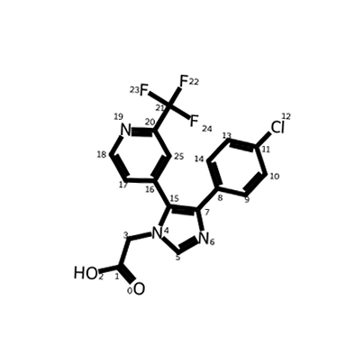 O=C(O)Cn1cnc(-c2ccc(Cl)cc2)c1-c1ccnc(C(F)(F)F)c1